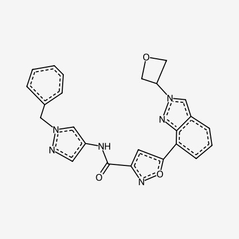 O=C(Nc1cnn(Cc2ccccc2)c1)c1cc(-c2cccc3cn(C4COC4)nc23)on1